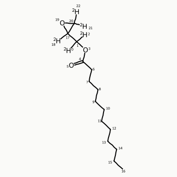 [2H]C([2H])(OC(=O)CCCCCCCCCCC)C1([2H])OC1([2H])[2H]